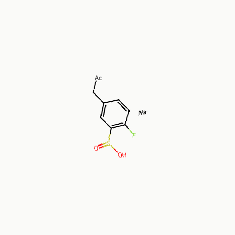 CC(=O)Cc1ccc(F)c(S(=O)O)c1.[Na]